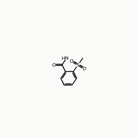 CS(=O)(=O)c1ccccc1C([NH])=O